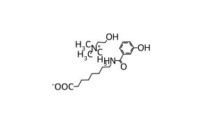 C[N+](C)(C)CCO.O=C([O-])CCCCCCCNC(=O)c1cccc(O)c1